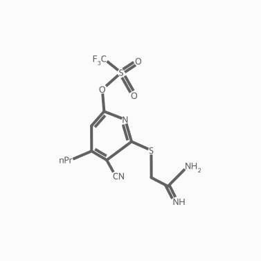 CCCc1cc(OS(=O)(=O)C(F)(F)F)nc(SCC(=N)N)c1C#N